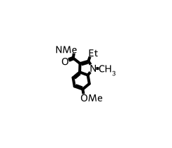 CCC1=C(C(=O)NC)C2=CC=C(OC)CC2N1C